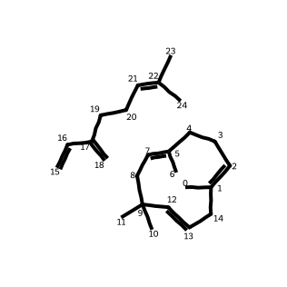 C/C1=C\CC/C(C)=C/CC(C)(C)/C=C/C1.C=CC(=C)CCC=C(C)C